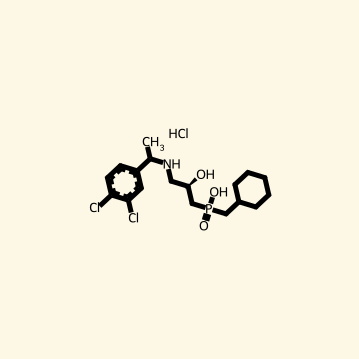 CC(NC[C@@H](O)CP(=O)(O)CC1CCCCC1)c1ccc(Cl)c(Cl)c1.Cl